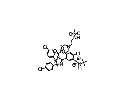 CCOc1cc(Cl)c(S(=O)(=O)NC(C)(C)C)cc1C1=N[C@@](C)(c2ccc(Cl)cc2)[C@@](C)(c2ccc(Cl)cc2)N1C(=O)N1CCN(CCNS(C)(=O)=O)CC1